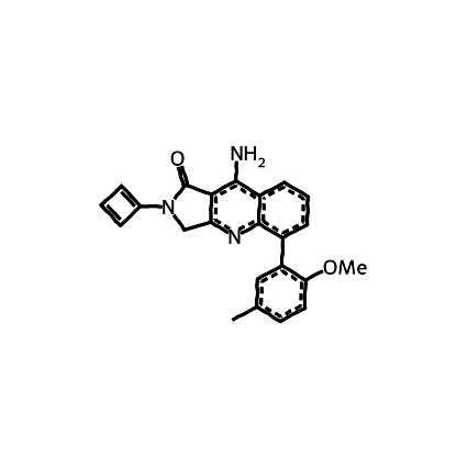 COc1ccc(C)cc1-c1cccc2c(N)c3c(nc12)CN(C1=CC=C1)C3=O